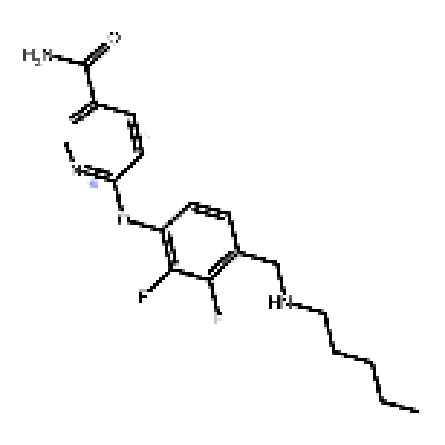 C=C(/C=C\C(=N/C)Oc1ccc(CNCCCCC)c(F)c1F)C(N)=O